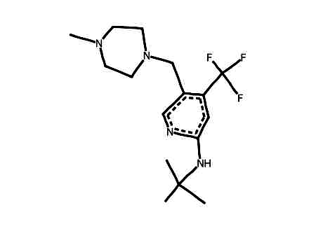 CN1CCN(Cc2cnc(NC(C)(C)C)cc2C(F)(F)F)CC1